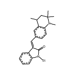 CCN1C(=O)/C(=C\c2ccc3c(c2)C(C)CC(C)(C)N3C)c2ccccc21